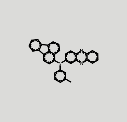 Cc1cccc(N(c2ccc3nc4ccccc4nc3c2)c2ccc3c4c(cccc24)-c2ccccc2-3)c1